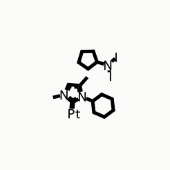 Cc1cn(C)[c](=[Pt])n1C1CCCCC1.IN(I)C1CCCC1